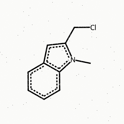 Cn1c(CCl)cc2ccccc21